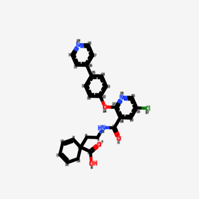 O=C(NCCC1(C(=O)O)C=CC=CC1)c1cc(Cl)cnc1Oc1ccc(-c2ccncc2)cc1